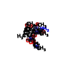 COCCCOc1cc(C[C@@H](C[C@H]2[C@H](C[C@H](C(=O)NCC(C)(C)C(N)=O)C(C)C)OC(COC3CCN(C)CC3)N2C(=O)O)C(C)C)ccc1OC